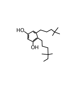 CCC(C)(C)CCCc1c(O)cc(O)cc1CCCC(C)(C)C